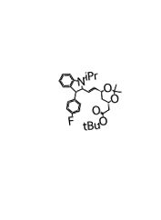 CC(C)N1c2ccccc2C(c2ccc(F)cc2)C1/C=C/[C@@H]1C[C@H](CC(=O)OC(C)(C)C)OC(C)(C)O1